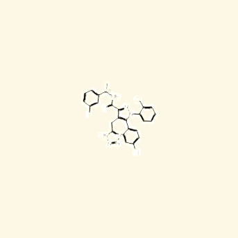 C[C@@H](NC(=O)c1nn(-c2ccccc2Cl)c(-c2ccc(Cl)cc2)c1Cc1nnn[nH]1)c1cccc(F)c1